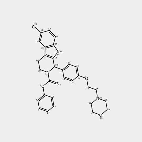 S=C(Oc1ccccc1)N1CCc2c([nH]c3ccc(Cl)cc23)C1c1ccc(OCCN2CCOCC2)cc1